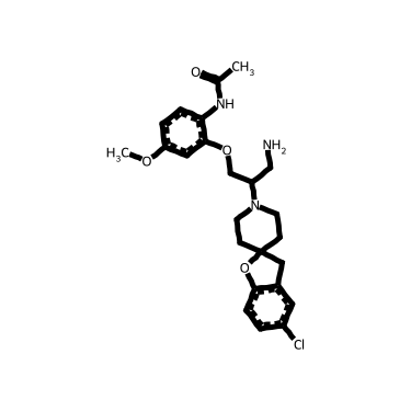 COc1ccc(NC(C)=O)c(OCC(CN)N2CCC3(CC2)Cc2cc(Cl)ccc2O3)c1